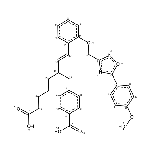 COc1ccc(-c2nc(COc3ccccc3/C=C/C(CCCCC(=O)O)Cc3ccc(C(=O)O)cc3)no2)cc1